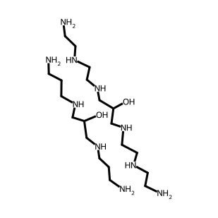 NCCCNCC(O)CNCCCN.NCCNCCNCC(O)CNCCNCCN